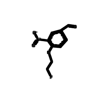 O=Cc1ccc(OCCF)c([N+](=O)[O-])c1